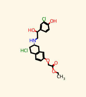 CCOC(=O)COc1ccc2c(c1)C[C@@H](NCC(O)c1ccc(O)c(Cl)c1)CC2.Cl